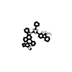 CC1(C)c2ccccc2-c2ccc(-c3nc(-c4ccccc4)nc(-n4c5ccccc5c5c6cccc7c6c(cc54)-c4ccccc4C74c5ccccc5-c5ccccc54)n3)cc21